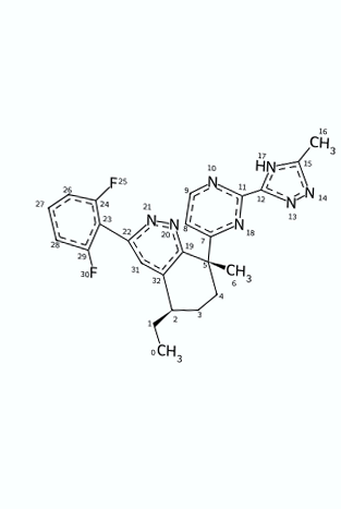 CC[C@@H]1CC[C@@](C)(c2ccnc(-c3nnc(C)[nH]3)n2)c2nnc(-c3c(F)cccc3F)cc21